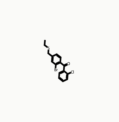 CCSCc1ccc(C(=O)c2ccccc2Cl)c(Br)c1